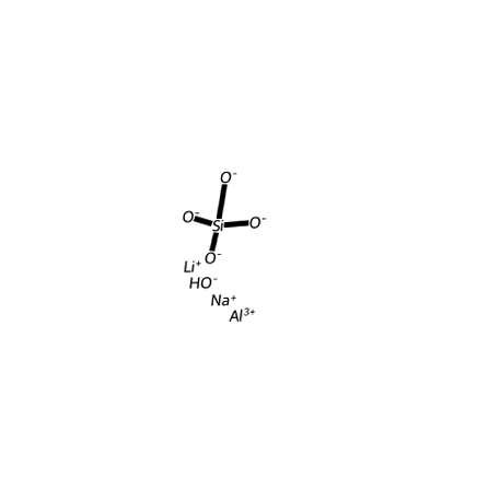 [Al+3].[Li+].[Na+].[O-][Si]([O-])([O-])[O-].[OH-]